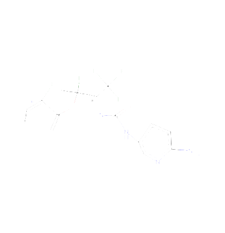 C=C(OC(C)(F)[C@@H](NC(=O)Nc1ccc(N)nc1)C(F)(F)F)/C(F)=C\C